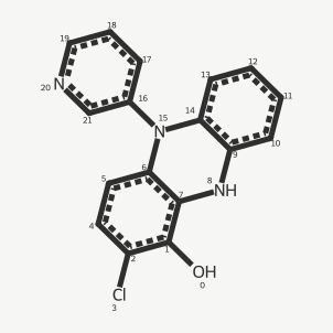 Oc1c(Cl)ccc2c1Nc1ccccc1N2c1cccnc1